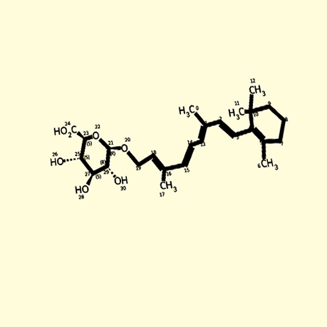 CC(C=CC1=C(C)CCCC1(C)C)=CC=CC(C)=CCO[C@@H]1O[C@H](C(=O)O)[C@@H](O)[C@H](O)[C@H]1O